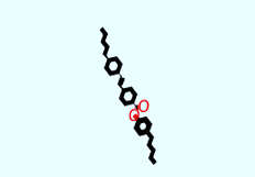 CCCCCc1ccc(OC(=O)[C@H]2CC[C@H](/C=C/[C@H]3CC[C@H](CCCCC)CC3)CC2)cc1